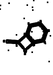 O=C1Oc2ccccc21